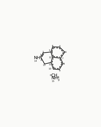 C.C1=Cc2cccc3cccc(c23)C1.N.N